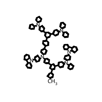 Cc1ccc(-c2cc(-c3ccc(N(c4ccccc4)c4ccc(-n5c6ccccc6c6ccccc65)cc4)cc3)cc(-c3ccc(N(c4ccc(-c5ccc(-c6cc(-c7ccc(N(c8ccccc8)c8ccccc8)cc7)cc(-c7ccc(N(c8ccccc8)c8ccccc8)cc7)c6)cc5)cc4)c4ccc(-n5c6ccccc6c6ccccc65)cc4)cc3)c2)cc1